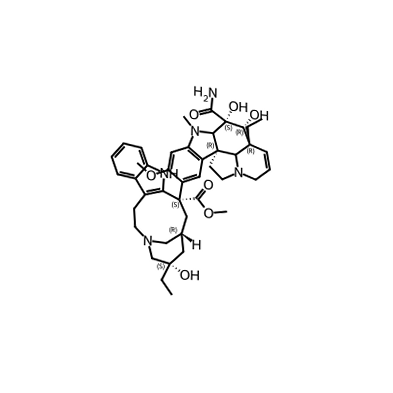 CC[C@]1(O)C[C@@H]2CN(CCc3c([nH]c4ccccc34)[C@@](C(=O)OC)(c3cc4c(cc3OC)N(C)C3[C@]45CCN4CC=C[C@](CC)(C45)[C@@H](O)[C@]3(O)C(N)=O)C2)C1